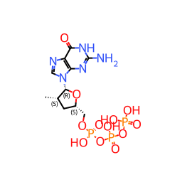 C[C@H]1C[C@@H](COP(=O)(O)OP(=O)(O)OP(=O)(O)O)O[C@H]1n1cnc2c(=O)[nH]c(N)nc21